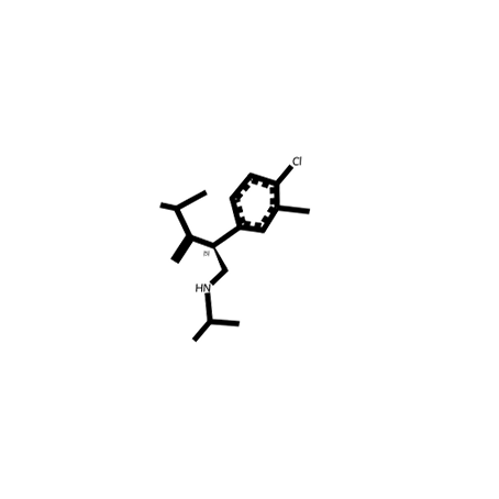 C=C(C(C)C)[C@H](CNC(C)C)c1ccc(Cl)c(C)c1